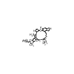 CC(C)ONC(=O)C(C)Cc1cccc(C2(C)CCCC(C)(C)CSCCc3c(c(F)cc4[nH]ccc34)Oc3ccc(F)c(c3)-c3nc2nn3C)c1